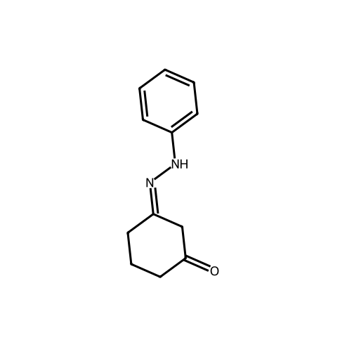 O=C1CCC/C(=N/Nc2ccccc2)C1